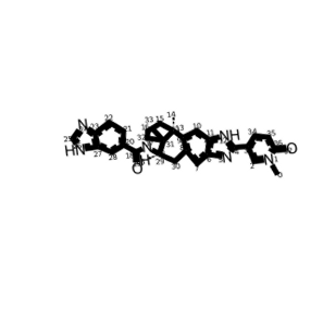 Cn1cc(-c2nc3cc4c(cc3[nH]2)[C@]2(C)CCN(C(=O)c3ccc5nc[nH]c5c3)[C@H](C4)C2(C)C)ccc1=O